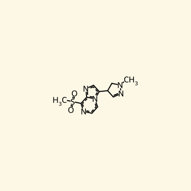 CN1CC(c2cnc3c(S(C)(=O)=O)nccn23)C=N1